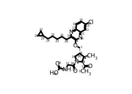 CC(=O)[C@@H]1[C@H](C)[C@@H](COc2nc3cc(Cl)ccc3nc2CCCCCC2CC2)CN1C(=O)CNC(=O)O